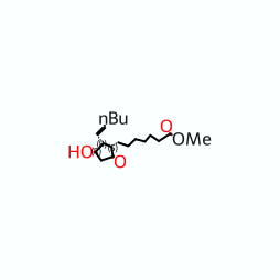 CCCCC=C[C@H]1[C@H](O)CC(=O)[C@H]1CCCCCCC(=O)OC